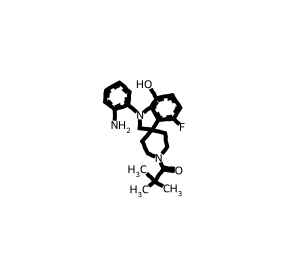 CC(C)(C)C(=O)N1CCC2(CC1)CN(c1ccccc1N)c1c(O)ccc(F)c12